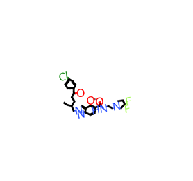 CCC(CCC(=O)c1ccc(Cl)cc1)Cn1cc2c(OC)c(C(=O)NCCN3CCC(F)(F)C3)ccc2n1